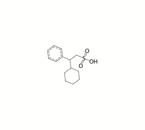 O=S(=O)(O)CC(c1ccccc1)C1CCCCC1